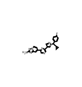 Nc1nc2cc(-c3cncc(-c4cnn(C(c5ccc(F)cc5)C5CC5)c4)n3)ccn2n1